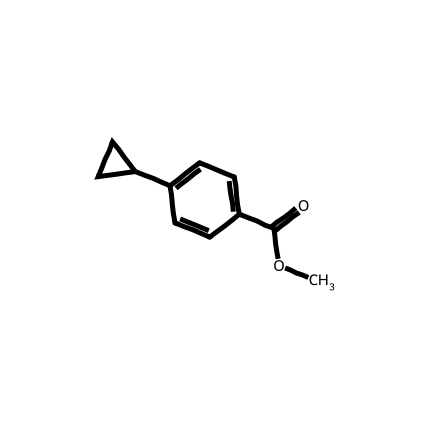 COC(=O)c1ccc(C2CC2)cc1